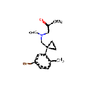 COC(=O)CN(C=O)CC1(c2cc(Br)ccc2C)CC1